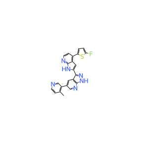 Cc1ccncc1-c1cnc2[nH]nc(-c3cc4c(-c5ccc(F)s5)ccnc4[nH]3)c2c1